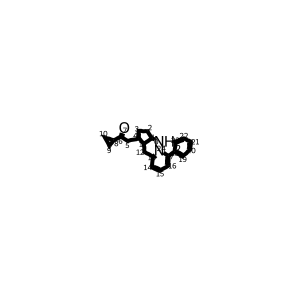 NC1CCC(CC(=O)C2CC2)C1Cc1cccc(-c2ccccc2)n1